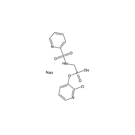 O=P(O)(CNS(=O)(=O)c1ccccn1)Oc1cccnc1Cl.[NaH]